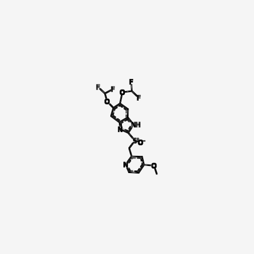 COc1ccnc(C[S+]([O-])c2nc3cc(OC(F)F)c(OC(F)F)cc3[nH]2)c1